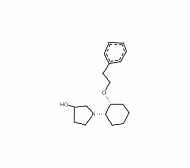 OC1CCN([C@H]2CCCC[C@H]2OCCc2ccccc2)C1